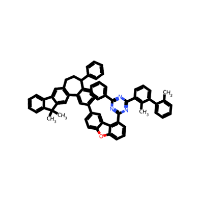 Cc1ccccc1-c1cccc(-c2nc(-c3ccccc3)nc(-c3cccc4oc5ccc(-c6ccc7c(c6)-c6cc8c(cc6CCC7c6ccccc6)-c6ccccc6C8(C)C)cc5c34)n2)c1C